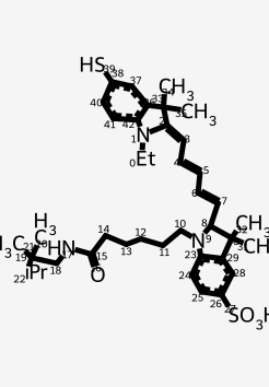 CCN1\C(=C/C=C/C=C/C2N(CCCCCC(=O)NCC(C)(C)C(C)C)c3ccc(S(=O)(=O)O)cc3C2(C)C)C(C)(C)c2cc(S)ccc21